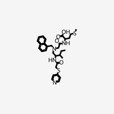 CCC(C)C(CN(CC(=O)NC(CCSC)C(=O)O)Cc1cccc2ccccc12)NC(=O)CSc1ccncc1